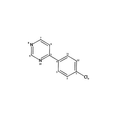 Clc1ccc(-c2ccncn2)cc1